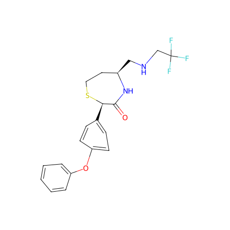 O=C1N[C@H](CNCC(F)(F)F)CCS[C@@H]1c1ccc(Oc2ccccc2)cc1